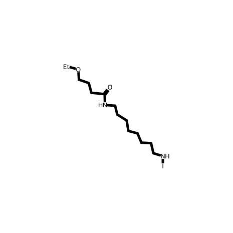 CCOCCCC(=O)NCCCCCCCCNI